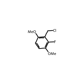 COc1ccc(OC)c(CCl)c1F